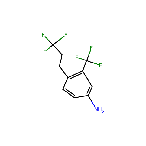 Nc1ccc(CCC(F)(F)F)c(C(F)(F)F)c1